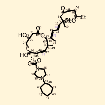 CC[C@@H](OC(C)=O)[C@@H](C)[C@H]1O[C@@H]1CC(C)(O)/C=C/C=C(\C)[C@H]1OC(=O)C[C@@H](O)CC[C@](C)(O)[C@@H](OC(=O)N2CCN(C3CCCCCC3)CC2)/C=C/[C@@H]1C